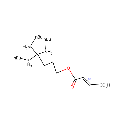 CCCC[SiH2]C(CCCOC(=O)/C=C/C(=O)O)([SiH2]CCCC)[SiH2]CCCC